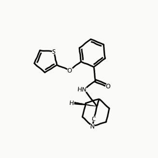 O=C(N[C@H]1CN2CCC1CC2)c1ccccc1Oc1cccs1